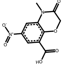 CN1C(=O)COc2c(C(=O)O)cc([N+](=O)[O-])cc21